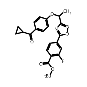 CC(Oc1ccc(C(=O)C2CC2)cc1)c1noc(-c2ccc(C(=O)OC(C)(C)C)c(F)c2)n1